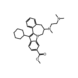 COC(=O)c1ccc2c(C3CCCCC3)c3n(c2c1)CC(N(C)CCN(C)C)Cc1ccccc1-3